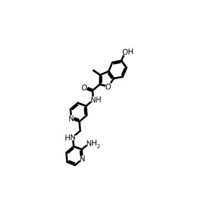 Cc1c(C(=O)Nc2ccnc(CNc3cccnc3N)c2)oc2ccc(O)cc12